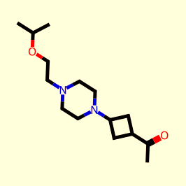 CC(=O)C1CC(N2CCN(CCOC(C)C)CC2)C1